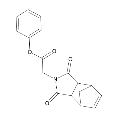 O=C(CN1C(=O)C2C3C=CC(C3)C2C1=O)Oc1ccccc1